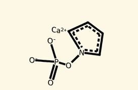 O=P([O-])([O-])On1cccc1.[Ca+2]